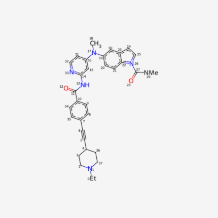 CCN1CCC(C#Cc2ccc(C(=O)Nc3cc(N(C)c4ccc5c(ccn5C(=O)NC)c4)ccn3)cc2)CC1